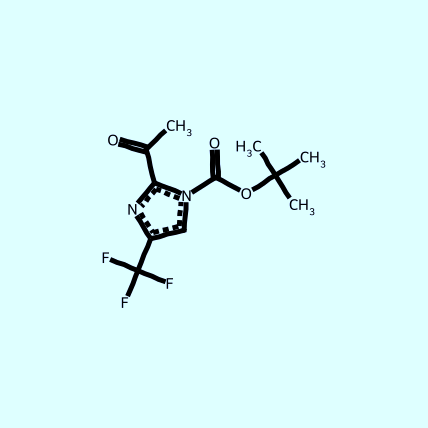 CC(=O)c1nc(C(F)(F)F)cn1C(=O)OC(C)(C)C